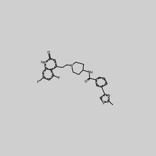 Cc1nc(-c2cccc(C(=O)NC3CCN(CCc4cc(=O)[nH]c5cc(F)cc(F)c45)CC3)c2)cs1